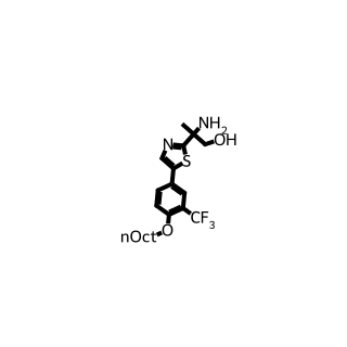 CCCCCCCCOc1ccc(-c2cnc(C(C)(N)CO)s2)cc1C(F)(F)F